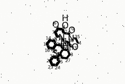 O=C1c2c(O)c(=O)ccn2N([C@H]2c3ccccc3SC3(c4ccccc4)CCCCC23)[C@@H]2COCCN12